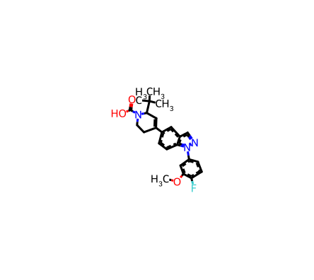 COc1cc(-n2ncc3cc(C4=CC(C(C)(C)C)N(C(=O)O)CC4)ccc32)ccc1F